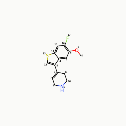 COc1cc2c(C3=CCNCC3)csc2cc1F